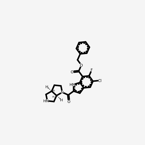 O=C(OCc1ccccc1)c1c(F)c(Cl)cc2cc(C(=O)N3CC[C@@H]4CNC[C@@H]43)[nH]c12